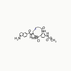 COC(=O)Nc1ccc2c(c1)NC(=O)CC/C=C/C[C@H](NC(=O)c1ccc3c(c1)CC[C@H]3N)c1nc-2c(Cl)[nH]1